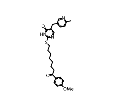 COc1ccc(C(=O)CCCCCCCSc2ncc(Cc3ccc(C)nc3)c(=O)[nH]2)cc1